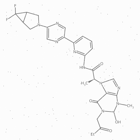 CCC(=O)CN1C(=O)c2c(ncn2[C@@H](C)C(=O)Nc2cccc(-c3cnc(N4CC5C(C4)C5(F)F)cn3)n2)N(C)C1O